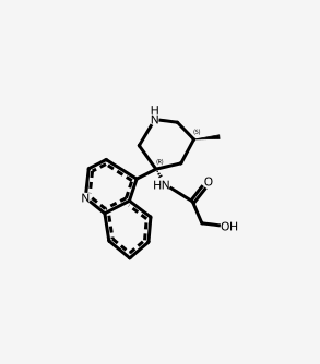 C[C@@H]1CNC[C@](NC(=O)CO)(c2ccnc3ccccc23)C1